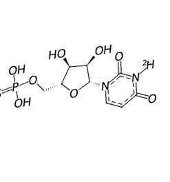 [2H]n1c(=O)ccn([C@@H]2O[C@H](COP(O)(O)=S)[C@@H](O)[C@H]2O)c1=O